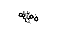 NCC(Cc1c[nH]c2ccccc12)NC(=O)c1cc(-c2ccccc2F)ccc1OC(F)(F)F